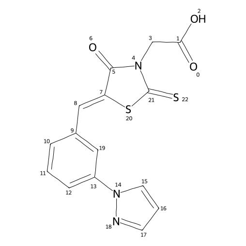 O=C(O)CN1C(=O)C(=Cc2cccc(-n3cccn3)c2)SC1=S